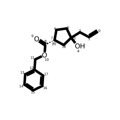 C=CCC1(O)CC[C@@H](C(=O)OCc2ccccc2)C1